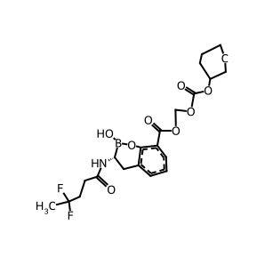 CC(F)(F)CCC(=O)N[C@H]1Cc2cccc(C(=O)OCOC(=O)OC3CCCCC3)c2OB1O